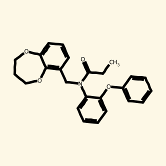 CCC(=O)N(Cc1cccc2c1OCCCO2)c1ccccc1Oc1ccccc1